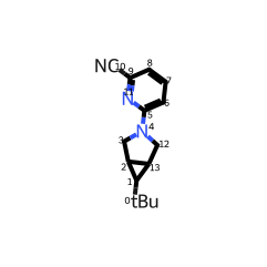 CC(C)(C)C1C2CN(c3cccc(C#N)n3)CC21